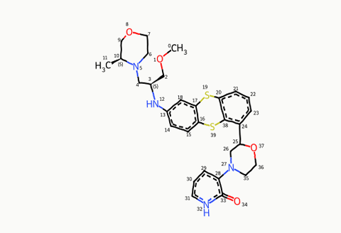 COC[C@H](CN1CCOC[C@@H]1C)Nc1ccc2c(c1)Sc1cccc(C3CN(c4ccc[nH]c4=O)CCO3)c1S2